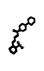 O=C(C=CC=Cc1ccccc1[N+](=O)[O-])N1CCN(C2CCCCC2)CC1